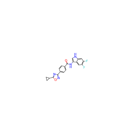 O=C(Nc1c[nH]c2cc(F)c(F)cc12)c1ccc(-c2noc(C3CC3)n2)cc1